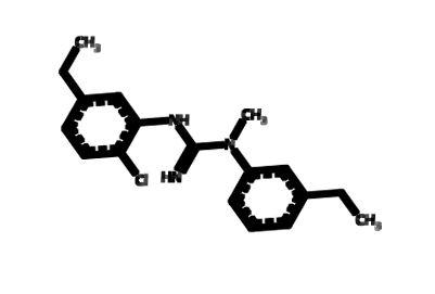 CCc1cccc(N(C)C(=N)Nc2cc(CC)ccc2Cl)c1